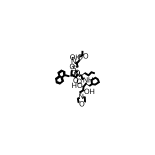 CCCC[C@H](NC(=O)[C@H](Cc1cccc2ccccc12)CS(=O)(=O)C/C(COC(C)=O)=N/O)C(=O)N[C@@H](CC1CCCCC1)[C@@H](O)[C@@H](O)CN1CCOCC1